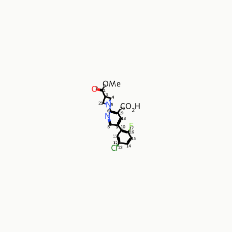 COC(=O)C1CN(c2ncc(-c3cc(Cl)ccc3F)cc2C(=O)O)C1